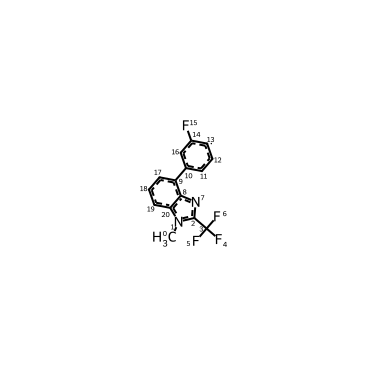 Cn1c(C(F)(F)F)nc2c(-c3cc[c]c(F)c3)cccc21